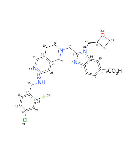 O=C(O)c1ccc2nc(CN3CCc4cnc(NCc5ccc(Cl)cc5F)cc4C3)n(C[C@@H]3CCO3)c2c1